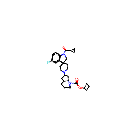 O=C(C1CC1)N1CC2(CCN(C3CC4CCCN(C(=O)OC5CCC5)C4C3)CC2)c2cc(F)ccc21